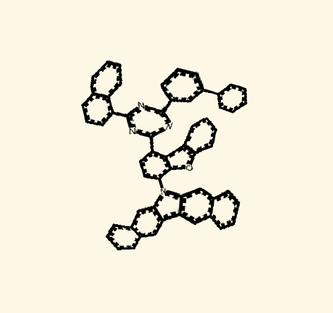 c1ccc(-c2cccc(-c3nc(-c4cccc5ccccc45)nc(-c4ccc(-n5c6cc7ccccc7cc6c6cc7ccccc7cc65)c5oc6ccccc6c45)n3)c2)cc1